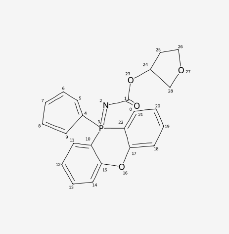 O=C(N=P1(c2ccccc2)c2ccccc2Oc2ccccc21)OC1CCOC1